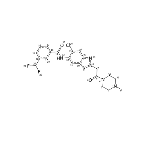 CN1CCN(C(=O)Cn2cc3cc(NC(=O)c4cccc(C(F)F)n4)c(Cl)cc3n2)CC1